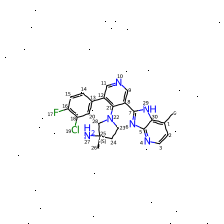 Cc1ccnc2nc(-c3cncc(-c4ccc(F)c(Cl)c4)c3N3CC[C@](C)(N)C3)[nH]c12